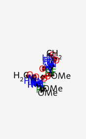 C=CC(=O)N[C@H]1CCOC[C@H]1Nc1ncc2cc(-c3c(F)c(OC)cc(OC)c3F)nc(NCC3CCC(COc4cc(OC)c(F)c(-c5cc6cnc(N[C@@H]7COCC[C@@H]7NC(=O)C=C)nc6c(NC6CCOC6)n5)c4F)O3)c2n1